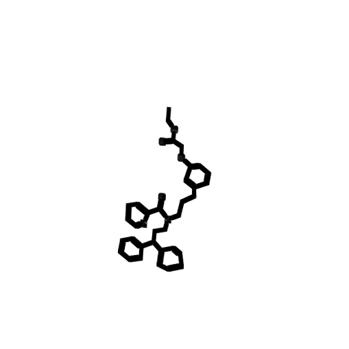 CCOC(=O)COc1cccc(CCCN(CCC(c2ccccc2)c2ccccc2)C(=O)c2ccccn2)c1